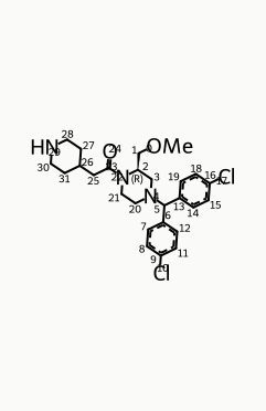 COC[C@H]1CN(C(c2ccc(Cl)cc2)c2ccc(Cl)cc2)CCN1C(=O)CC1CCNCC1